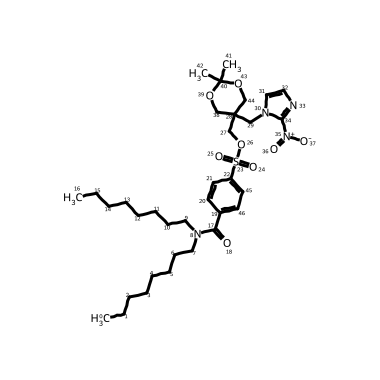 CCCCCCCCN(CCCCCCCC)C(=O)c1ccc(S(=O)(=O)OCC2(Cn3ccnc3[N+](=O)[O-])COC(C)(C)OC2)cc1